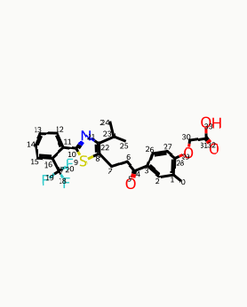 Cc1cc(C(=O)CCc2sc(-c3ccccc3C(F)(F)F)nc2C(C)C)ccc1OCC(=O)O